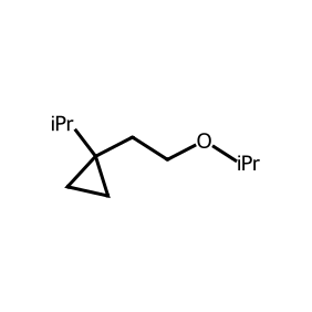 CC(C)OCCC1(C(C)C)CC1